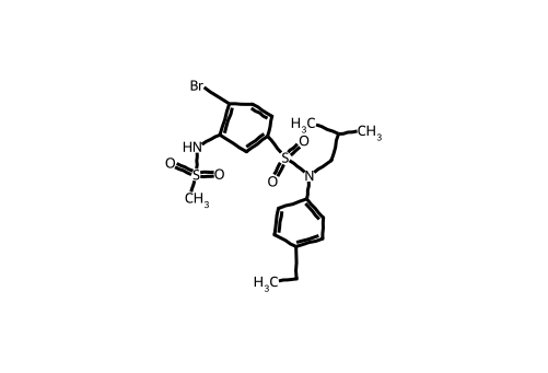 CCc1ccc(N(CC(C)C)S(=O)(=O)c2ccc(Br)c(NS(C)(=O)=O)c2)cc1